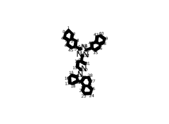 c1ccc2cc(-c3nc(-c4ccc(-n5c6ccccc6c6c7ccccc7ccc65)nc4)nc(-c4ccc5ccccc5c4)n3)ccc2c1